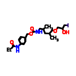 CCC(=O)Nc1ccc(COC(=O)NCC(C)CC(C)COCC(O)CI)cc1